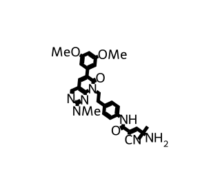 CNc1ncc2cc(-c3cc(OC)cc(OC)c3)c(=O)n(CCc3ccc(NC(=O)C(C#N)=CC(C)(C)N)cc3)c2n1